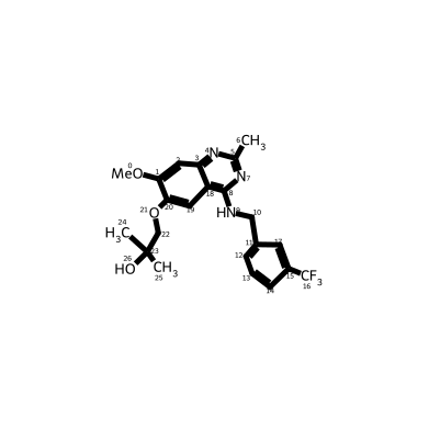 COc1cc2nc(C)nc(NCc3cccc(C(F)(F)F)c3)c2cc1OCC(C)(C)O